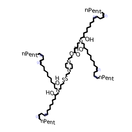 CCCCC/C=C\C/C=C\CCCCCCC(O)CN(CCCSSCCN1CCN(CCOC(=O)CCCN(CC(O)CCCCCC/C=C\C/C=C\CCCCC)CC(O)CCCCCC/C=C\C/C=C\CCCCC)CC1)CC(O)CCCCCC/C=C\C/C=C\CCCCC